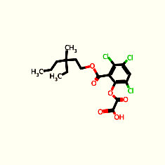 CCCC(C)(CC)CCOC(=O)c1c(Cl)c(Cl)cc(Cl)c1OC(=O)C(=O)O